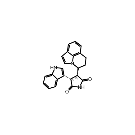 O=C1NC(=O)[C@H](C2CCc3cccc4ccn2c34)[C@H]1c1c[nH]c2ccccc12